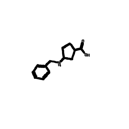 O=C(O)C1CCC(NCc2ccccc2)C1